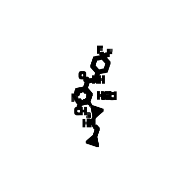 Cc1ncc(C(=O)NC2CCC(F)(F)CC2)cc1[C@@H]1C[C@H]1NCC1CC1.Cl.Cl